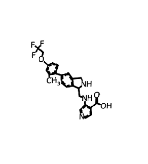 Cc1cc(OCC(F)(F)F)ccc1-c1ccc2c(c1)CNC2CNc1cnccc1C(=O)O